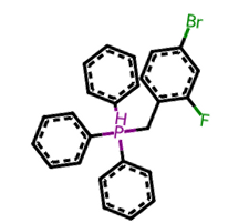 Fc1cc(Br)ccc1C[PH](c1ccccc1)(c1ccccc1)c1ccccc1